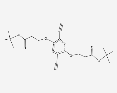 C#Cc1cc(OCCC(=O)OC(C)(C)C)c(C#C)cc1OCCC(=O)OC(C)(C)C